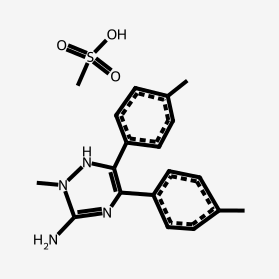 CS(=O)(=O)O.Cc1ccc(C2=C(c3ccc(C)cc3)NN(C)C(N)=N2)cc1